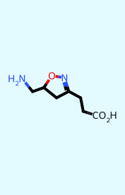 NCC1CC(CCC(=O)O)=NO1